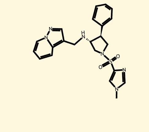 Cn1cnc(S(=O)(=O)N2C[C@H](NCc3cnn4ccccc34)[C@@H](c3ccccc3)C2)c1